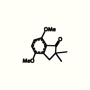 COc1ccc(OC)c2c1CC(C)(C)C2=O